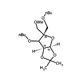 CCCCOC[C@@]1(COC)O[C@H]2OC(C)(C)O[C@H]2C1OCCCC